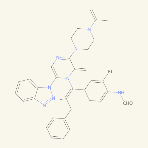 C=C(C)N1CCN(C2=NC=C(n3nnc4ccccc43)N(/C(=C(\C)Cc3ccccc3)C3C=C(CC)C(NC=O)=CC3)C2=C)CC1